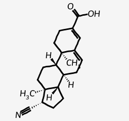 C[C@]12CC[C@H]3[C@@H](CC=C4C=C(C(=O)O)CC[C@@]43C)[C@@H]1CC[C@@H]2C#N